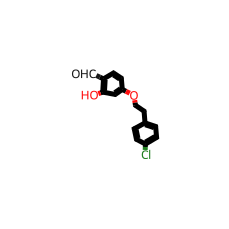 O=Cc1ccc(OCCc2ccc(Cl)cc2)cc1O